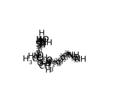 CC(C)(CCOC(C)(C)CCNC(=O)CCc1cccc(-c2ccc([C@@H]3C[C@H]3NCC3CCNCC3)cc2)c1)NC(=O)CCCC[C@@H]1SC[C@@H]2NC(=O)N[C@@H]21